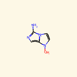 Nc1ncc2n(O)ccn12